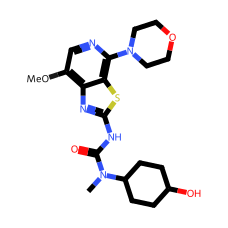 COc1cnc(N2CCOCC2)c2sc(NC(=O)N(C)C3CCC(O)CC3)nc12